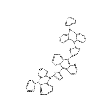 c1ccc(N2c3ccccc3N(c3ccc(-c4c5ccccc5c(-c5ccc(N6c7ccccc7N(c7ccccc7)c7ccccc76)s5)c5nccnc45)s3)c3ccccc32)cc1